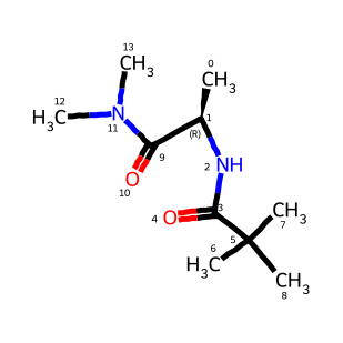 C[C@@H](NC(=O)C(C)(C)C)C(=O)N(C)C